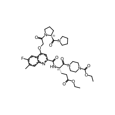 CCOC(=O)CC[C@H](NC(=O)c1cc(OCC(=O)N2CCC[C@H]2C(=O)N2CCCC2)c2cc(F)c(C)cc2n1)C(=O)N1CCN(C(=O)OCC)CC1